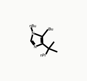 CCCCn1cnc(C(C)(C)CCC)c1C(C)CC